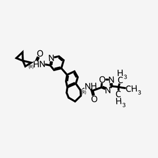 CC(C)(C)c1noc(C(=O)N[C@@H]2CCCCc3cc(-c4ccnc(NC(=O)[C@@H]5CC56CC6)c4)ccc32)n1